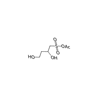 CC(=O)OS(=O)(=O)CC(O)CCO